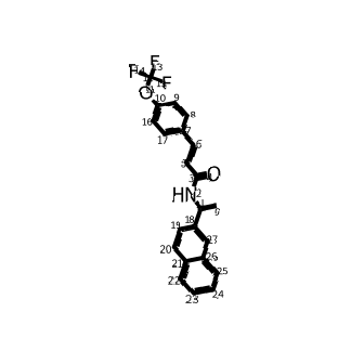 CC(NC(=O)C=Cc1ccc(OC(F)(F)F)cc1)c1ccc2ccccc2c1